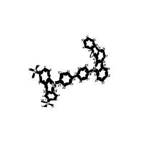 C[Si](C)(C)c1ccc2c(c1)c1cc([Si](C)(C)C)ccc1n2-c1ccc(-c2ccc(-n3c4ccccc4c4ccc5c6ccccc6oc5c43)cc2)cc1